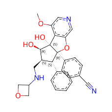 COc1cncc2c1[C@]1(O)[C@H](O)[C@H](CNC3COC3)[C@@H](c3ccccc3)[C@]1(c1ccc(C#N)cc1)O2